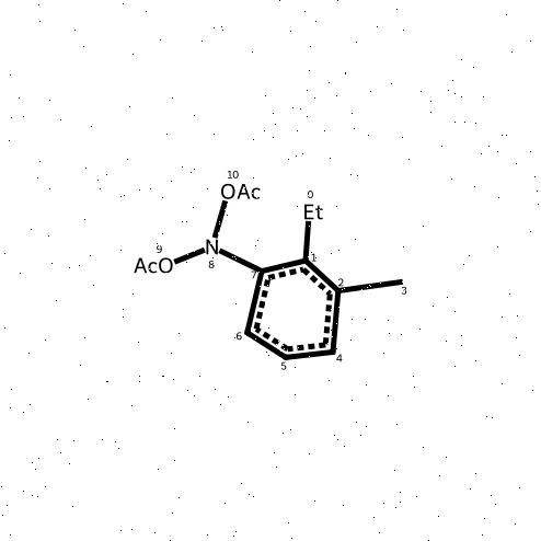 CCc1c(C)cccc1N(OC(C)=O)OC(C)=O